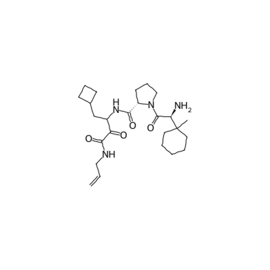 C=CCNC(=O)C(=O)C(CC1CCC1)NC(=O)[C@@H]1CCCN1C(=O)[C@@H](N)C1(C)CCCCC1